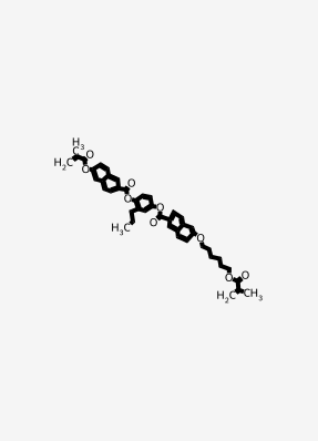 C=C(C)C(=O)OCCCCCCOc1ccc2cc(C(=O)Oc3ccc(OC(=O)c4ccc5cc(OC(=O)C(=C)C)ccc5c4)c(CCC)c3)ccc2c1